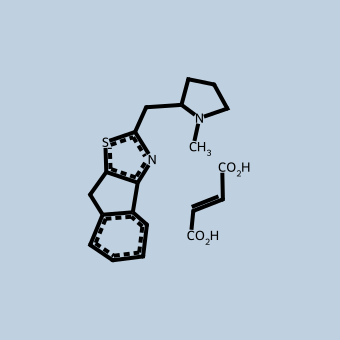 CN1CCCC1Cc1nc2c(s1)Cc1ccccc1-2.O=C(O)/C=C/C(=O)O